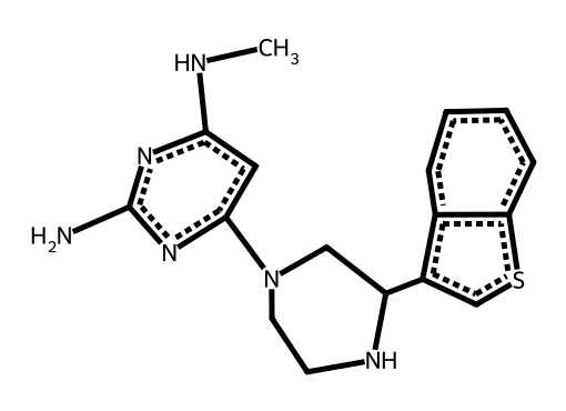 CNc1cc(N2CCNC(c3csc4ccccc34)C2)nc(N)n1